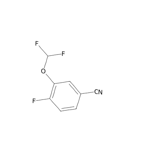 N#Cc1ccc(F)c(OC(F)F)c1